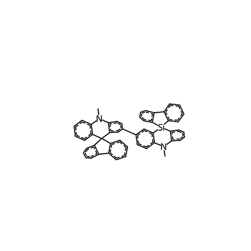 CN1c2ccccc2C2(c3ccccc3-c3ccccc32)c2cc(-c3ccc4c(c3)[Si]3(c5ccccc5-c5ccccc53)c3ccccc3N4C)ccc21